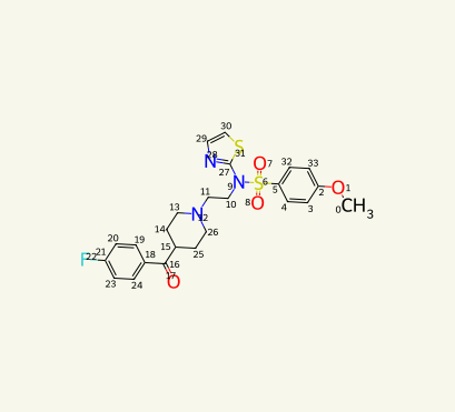 COc1ccc(S(=O)(=O)N(CCN2CCC(C(=O)c3ccc(F)cc3)CC2)c2nccs2)cc1